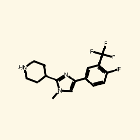 Cn1cc(-c2ccc(F)c(C(F)(F)F)c2)nc1C1CCNCC1